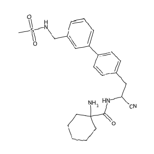 CS(=O)(=O)NCc1cccc(-c2ccc(CC(C#N)NC(=O)C3(N)CCCCC3)cc2)c1